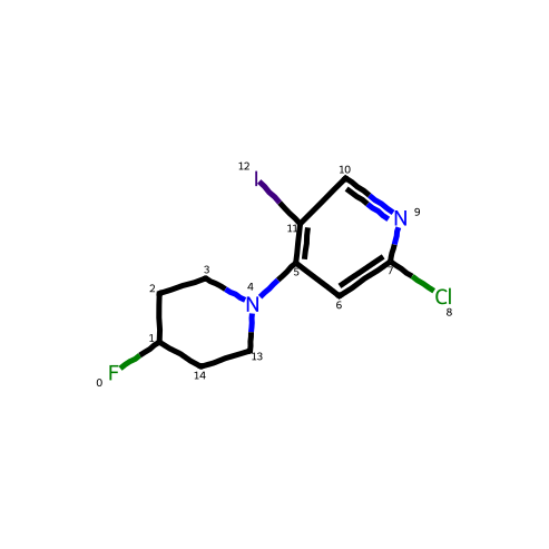 FC1CCN(c2cc(Cl)ncc2I)CC1